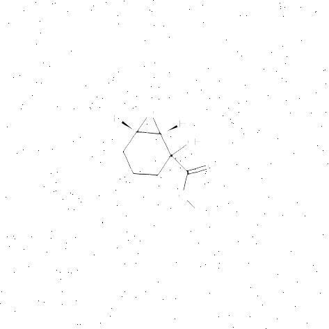 COC(=O)C1(C)CCC[C@@H]2O[C@@H]21